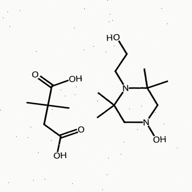 CC(C)(CC(=O)O)C(=O)O.CC1(C)CN(O)CC(C)(C)N1CCO